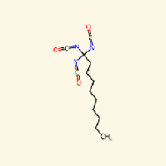 CCCCCCCCCC(N=C=O)(N=C=O)N=C=O